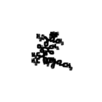 C=C(C)C(=O)OC.C=C(CC(=O)[O-])C(=O)[O-].C=CC(=O)OCC.C=CC(=O)OCC.[Na+].[Na+]